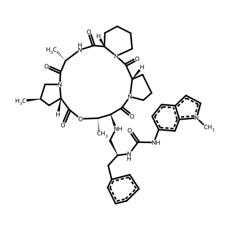 C[C@@H]1C[C@H]2C(=O)O[C@@H](C)[C@H](NC[C@H](Cc3ccccc3)NC(=O)Nc3ccc4ccn(C)c4c3)C(=O)N3CCC[C@H]3C(=O)N3CCCC[C@H]3C(=O)N[C@@H](C)C(=O)N2C1